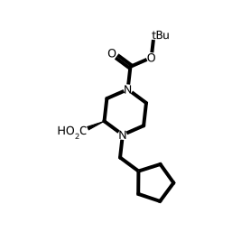 CC(C)(C)OC(=O)N1CCN(CC2CCCC2)[C@@H](C(=O)O)C1